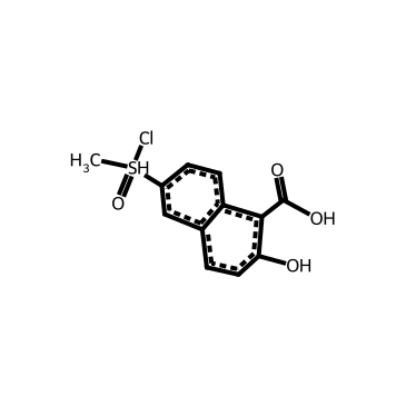 C[SH](=O)(Cl)c1ccc2c(C(=O)O)c(O)ccc2c1